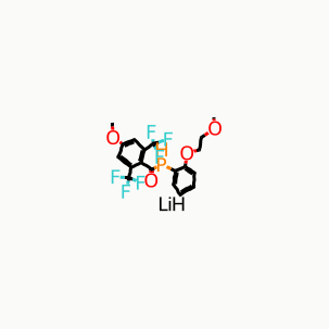 COCCOc1ccccc1PC(=O)c1c(C(F)(F)F)cc(OC)cc1C(F)(F)F.[LiH]